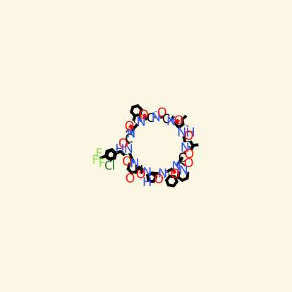 CC[C@H](C)[C@@H]1NC(=O)[C@H](CC(C)C)N(C)C(=O)C[C@@H](C(=O)N2CCCCC2)N(C)C(=O)[C@H](C2CCCCC2)N(C)C(=O)C2(CCCC2)NC(=O)[C@@H]2CC(=O)CCN2C(=O)[C@H](CCc2ccc(C(F)(F)F)c(Cl)c2)NC(=O)CN(C)C(=O)[C@H](CC2CCCCC2)N(C)C(=O)CN(C)C(=O)CN(C)C1=O